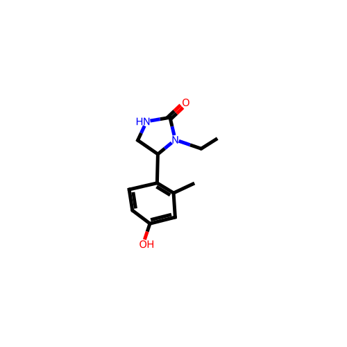 CCN1C(=O)NCC1c1ccc(O)cc1C